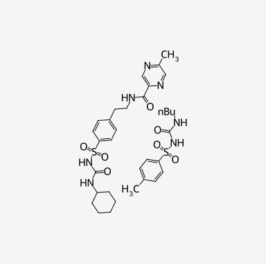 CCCCNC(=O)NS(=O)(=O)c1ccc(C)cc1.Cc1cnc(C(=O)NCCc2ccc(S(=O)(=O)NC(=O)NC3CCCCC3)cc2)cn1